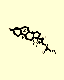 CC(=O)OCC(=O)[C@@]1(O)CC[C@H]2[C@]3(I)CCC4=CC(=O)CC[C@]4(C)[C@H]3CC[C@@]21C